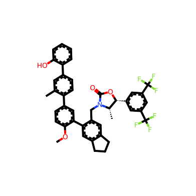 COc1ccc(-c2ccc(-c3ccccc3O)cc2C)cc1-c1cc2c(cc1CN1C(=O)O[C@H](c3cc(C(F)(F)F)cc(C(F)(F)F)c3)[C@@H]1C)CCC2